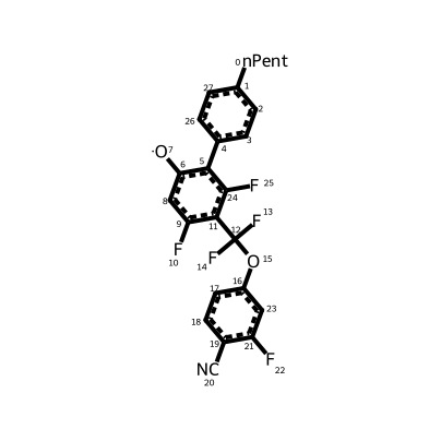 CCCCCc1ccc(-c2c([O])cc(F)c(C(F)(F)Oc3ccc(C#N)c(F)c3)c2F)cc1